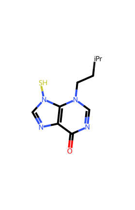 CC(C)CCn1cnc(=O)c2ncn(S)c21